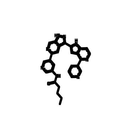 CCCCC(=O)Nc1cncc(-c2cc3c(-c4cc5c(-c6cccnc6)nccc5[nH]4)n[nH]c3cn2)c1